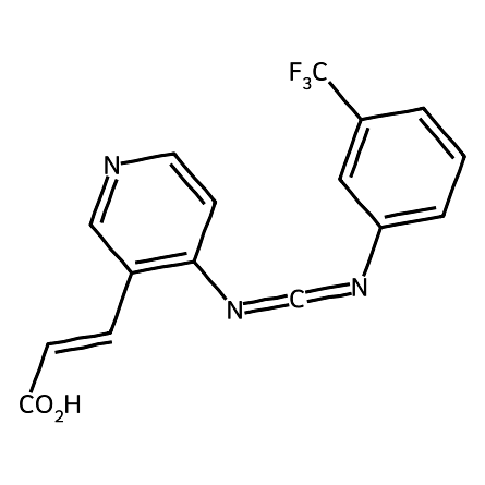 O=C(O)C=Cc1cnccc1N=C=Nc1cccc(C(F)(F)F)c1